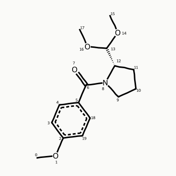 COc1ccc(C(=O)N2CCC[C@H]2C(OC)OC)cc1